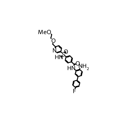 COCCOCc1ccc(S(=N)(=O)c2ccc(C(=O)Nc3cc(-c4ccc(F)cc4)ccc3N)cc2)cn1